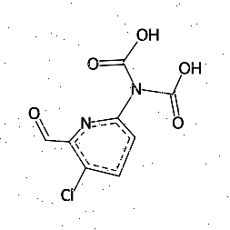 O=Cc1nc(N(C(=O)O)C(=O)O)ccc1Cl